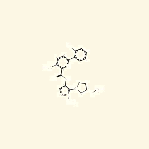 Cn1ncc(NC(=O)c2nc(-c3ccccc3F)ccc2N)c1N1CC[C@H](CN)C1